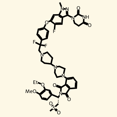 CCOc1cc([C@@H](CS(C)(=O)=O)N2C(=O)c3cccc(N4CCN(C5CCN(CC(F)(F)c6ccc(Oc7cc8c(cc7F)c(N7CCC(=O)NC7=O)nn8C)cc6)CC5)CC4)c3C2=O)ccc1OC